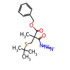 CC(C)(C)SCC(C)(C(=O)N=[N+]=[N-])C(=O)OCc1ccccc1